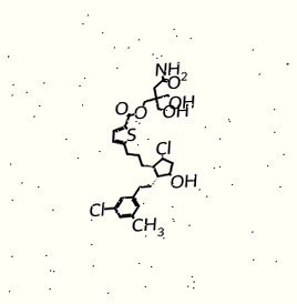 Cc1cc(Cl)cc(CC[C@@H]2[C@@H](CCCc3ccc(C(=O)OCC(CO)(CO)CC(N)=O)s3)[C@H](Cl)C[C@H]2O)c1